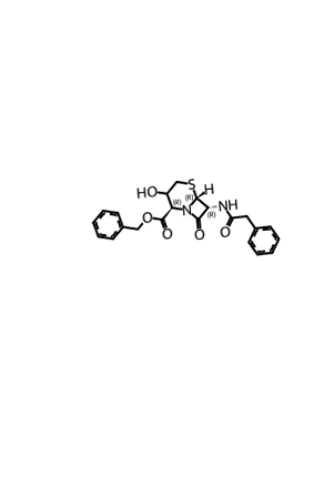 O=C(Cc1ccccc1)N[C@@H]1C(=O)N2[C@@H]1SCC(O)[C@@H]2C(=O)OCc1ccccc1